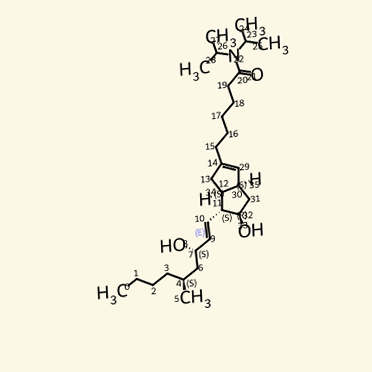 CCCC[C@H](C)C[C@H](O)/C=C/[C@@H]1[C@H]2CC(CCCCCC(=O)N(C(C)C)C(C)C)=C[C@H]2C[C@H]1O